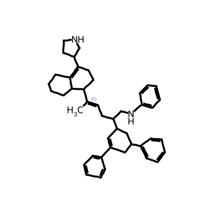 C/C(=C\CC(CNc1ccccc1)C1C=C(c2ccccc2)CC(c2ccccc2)C1)C1CCC(C2CCNC2)=C2CCCCC21